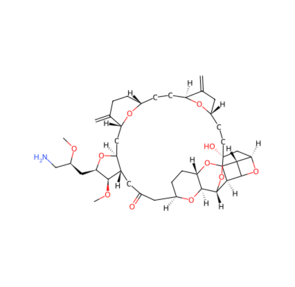 C=C1C[C@@H]2CC[C@@]3(O)C[C@H]4OC5[C@@H]6C(O[C@H]7CC[C@H](CC(=O)C[C@@H]8[C@@H](OC)[C@@H](C[C@@H](CN)OC)O[C@H]8C[C@H]8O[C@H](CCC8=C)CC[C@@H]1O2)O[C@@H]7[C@@H]6O3)[C@@H]54